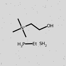 CCP.C[N+](C)(C)CCO.S